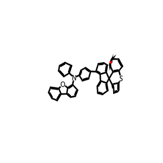 c1ccc(N(c2ccc(-c3cccc4c3-c3ccccc3C43c4ccccc4Sc4ccc5ccccc5c43)cc2)c2cccc3c2oc2ccccc23)cc1